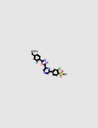 CNCc1ccc(-c2nnc(-c3cncc(-c4ccc(S(=O)(=O)C(C)C)c(Cl)c4)n3)o2)c(F)c1